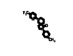 CN1CCC(N2CCC3(CCCN(c4ccc(C(F)(F)F)cn4)C3)C2=O)CC1